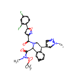 CON(C)C(=O)C1c2ccccc2C(c2cnn(C)c2)CN1C(=O)c1cc(-c2ccc(F)cc2F)on1